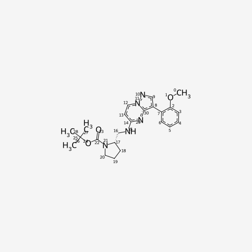 COc1ccccc1-c1cnn2ccc(NC[C@@H]3CCCN3C(=O)OC(C)(C)C)nc12